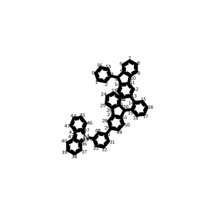 c1ccc(C2c3ccccc3-c3cc(-c4ccccc4C4c5ccccc5-c5cc(-c6cccc(-n7c8ccccc8c8ccccc87)c6)ccc54)ccc32)cc1